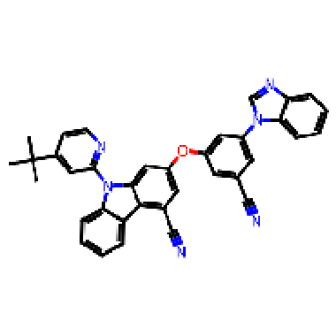 CC(C)(C)c1ccnc(-n2c3ccccc3c3c(C#N)cc(Oc4cc(C#N)cc(-n5cnc6ccccc65)c4)cc32)c1